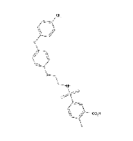 Cc1ccc(S(=O)(=O)NCCSc2ccc(Oc3ccc(C(F)(F)F)cc3)cc2)cc1C(=O)O